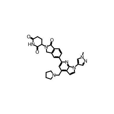 Cn1cc(-n2ccc3c(CN4CCCC4)cc(-c4ccc5c(c4)CN(C4CCC(=O)NC4=O)C5=O)nc32)cn1